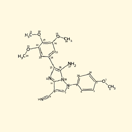 COc1ccc(-n2cc(C#N)c3nc(-c4cc(OC)c(OC)c(OC)c4)c(N)n32)cc1